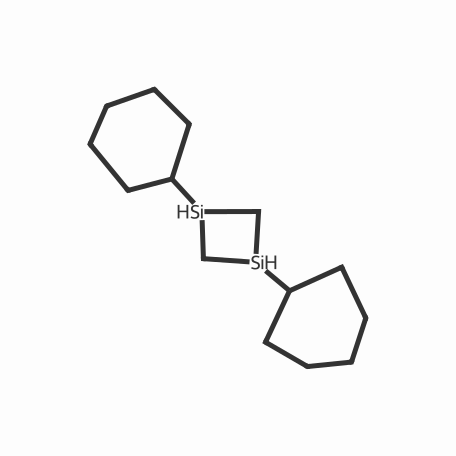 C1CCC([SiH]2C[SiH](C3CCCCC3)C2)CC1